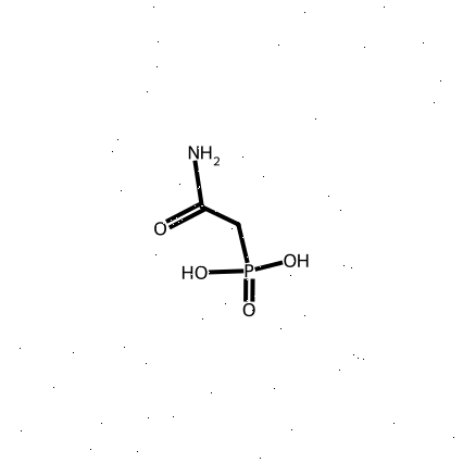 NC(=O)CP(=O)(O)O